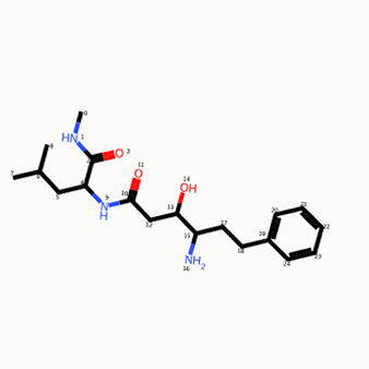 CNC(=O)C(CC(C)C)NC(=O)CC(O)C(N)CCc1ccccc1